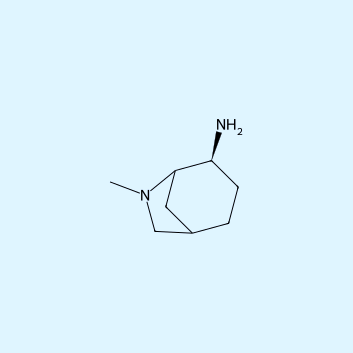 CN1CC2CC[C@H](N)C1C2